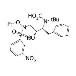 CC(C)ON(C[C@H](O)[C@H](Cc1ccccc1)N(C(=O)O)C(C)(C)C)S(=O)(=O)c1cccc([N+](=O)[O-])c1